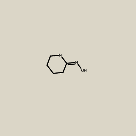 O/N=C1\CCCC[N]1